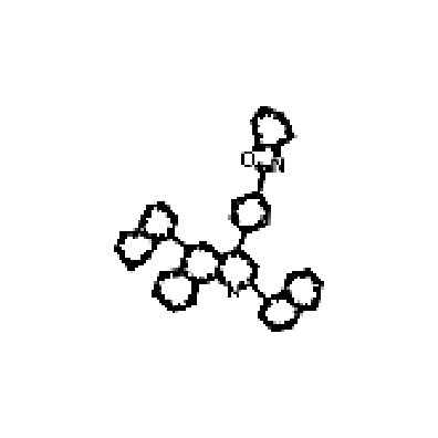 c1ccc2c(-c3cc(-c4ccc(-c5nc6ccccc6o5)cc4)c4cc(-c5cccc6ccccc56)c5ccccc5c4n3)cccc2c1